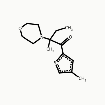 CCC(C)(C(=O)c1cc(C)cs1)N1CCOCC1